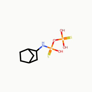 OP(O)(=S)OP(O)(=S)NC1CC2CCC1C2